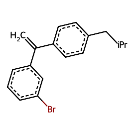 C=C(c1ccc(CC(C)C)cc1)c1cccc(Br)c1